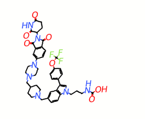 O=C(O)NCCCn1cc(-c2ccc(OC(F)(F)F)cc2)c2cc(CN3CCC(CN4CCN(c5ccc6c(c5)C(=O)N(C5CCC(=O)NC5=O)C6=O)CC4)CC3)ccc21